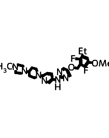 CCc1cc(OC)c(F)c(COc2cnc(Nc3ccc(N4CCC(N5CCN(C)CC5)CC4)nc3)nc2)c1F